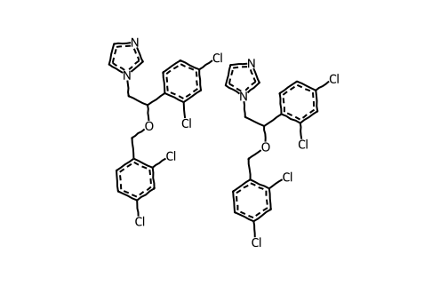 Clc1ccc(COC(Cn2ccnc2)c2ccc(Cl)cc2Cl)c(Cl)c1.Clc1ccc(COC(Cn2ccnc2)c2ccc(Cl)cc2Cl)c(Cl)c1